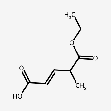 CCOC(=O)C(C)C=CC(=O)O